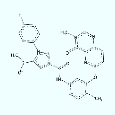 Cc1ccc(NC(=O)c2cc([S+](C)[O-])n(-c3ccc(F)cc3)n2)cc1Oc1ccc2ncn(C)c(=O)c2n1